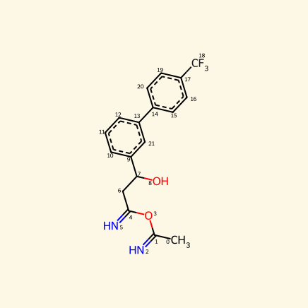 CC(=N)OC(=N)CC(O)c1cccc(-c2ccc(C(F)(F)F)cc2)c1